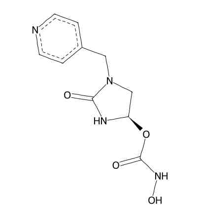 O=C(NO)O[C@@H]1CN(Cc2ccncc2)C(=O)N1